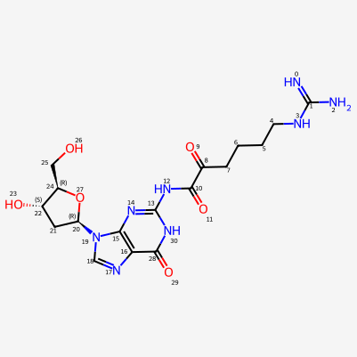 N=C(N)NCCCCC(=O)C(=O)Nc1nc2c(ncn2[C@H]2C[C@H](O)[C@@H](CO)O2)c(=O)[nH]1